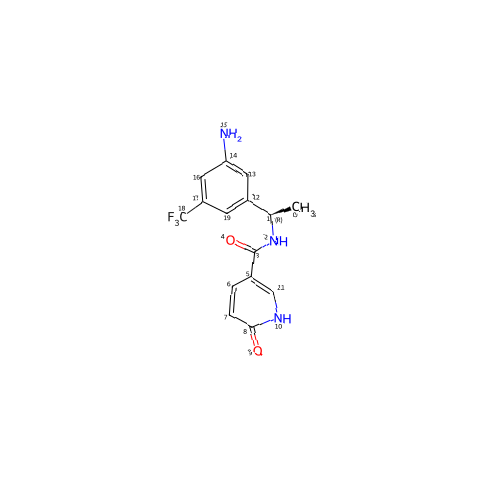 C[C@@H](NC(=O)c1ccc(=O)[nH]c1)c1cc(N)cc(C(F)(F)F)c1